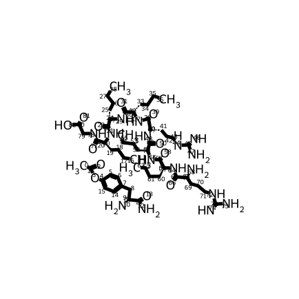 CC(=O)Oc1ccc(C[C@H](N)C(N)=O)cc1.CCCC[C@H](NC(=O)[C@H](CCCC)NC(=O)[C@H](CCCC)NC(=O)[C@H](CCCNC(=N)N)NC(=O)[C@H](CCCC)NC(=O)[C@H](CCCC)NC(=O)[C@@H](N)CCCNC(=N)N)C(=O)NCC(=O)O